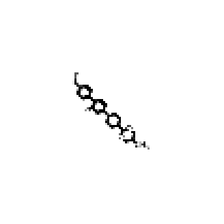 CC1COC(C2CCC(c3ccc(-c4ccc(CF)cc4)c(F)c3)CC2)OC1